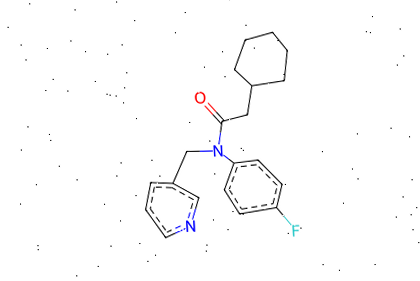 O=C(CC1CCCCC1)N(Cc1cccnc1)c1ccc(F)cc1